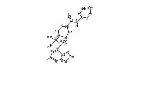 O=C(Nc1ccnnc1)N1CCC(C(F)(F)[S+]([O-])c2cccc3c2COC3)CC1